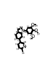 COc1cc(-n2ncc3ccc(-c4ccc(C)nc4)cc32)cc(OC)c1OC